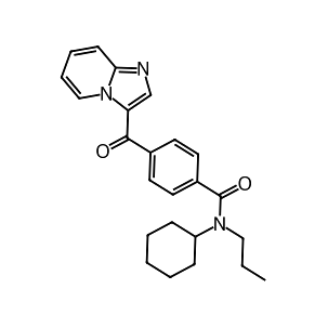 CCCN(C(=O)c1ccc(C(=O)c2cnc3ccccn23)cc1)C1CCCCC1